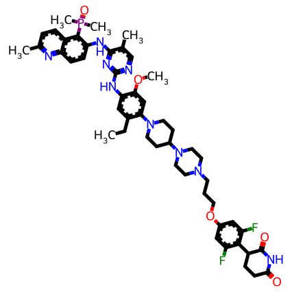 CCc1cc(Nc2ncc(C)c(Nc3ccc4nc(C)ccc4c3P(C)(C)=O)n2)c(OC)cc1N1CCC(N2CCN(CCCOc3cc(F)c(C4CCC(=O)NC4=O)c(F)c3)CC2)CC1